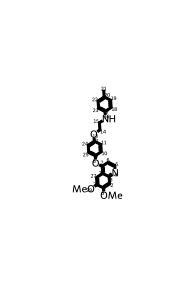 COc1cc2nccc(Oc3ccc(OCCNc4ccc(C)cc4)cc3)c2cc1OC